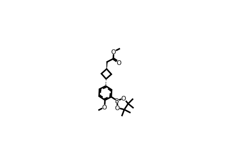 COC(=O)C[C@H]1C[C@H](c2ccc(OC)c(B3OC(C)(C)C(C)(C)O3)c2)C1